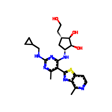 Cc1nc(NCC2CC2)nc(N[C@@H]2C[C@H](CCO)[C@@H](O)[C@H]2O)c1-c1nc2c(C)nccc2s1